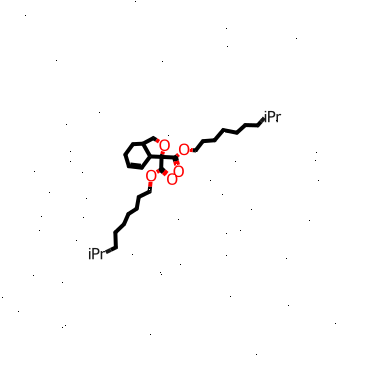 CC(C)CCCCCCCOC(=O)C1(C(=O)OCCCCCCCC(C)C)OCC2CCC=CC21